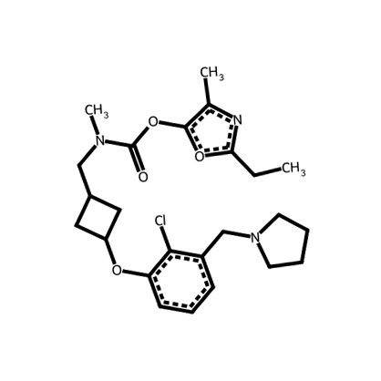 CCc1nc(C)c(OC(=O)N(C)CC2CC(Oc3cccc(CN4CCCC4)c3Cl)C2)o1